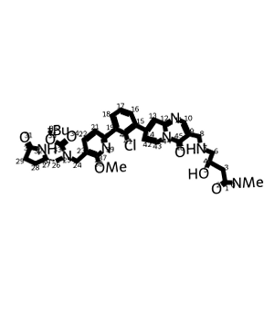 CNC(=O)CC(O)CNCc1cnc2cc(-c3cccc(-c4ccc(CN(C[C@@H]5CCC(=O)N5)C(=O)OC(C)(C)C)c(OC)n4)c3Cl)ccn2c1=O